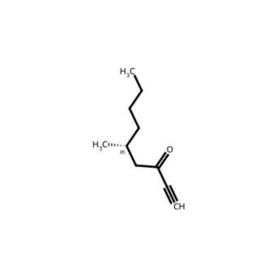 C#CC(=O)C[C@H](C)CCCC